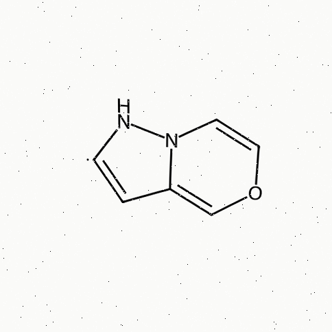 [C]1=CC2=COC=CN2N1